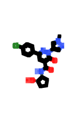 Cn1cc(-n2nc(-c3ccc(Cl)cc3)cc(C(=O)N[C@@H]3CCC[C@@H]3O)c2=O)cn1